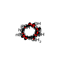 CCCC[C@H]1C(=O)N(C)CC(=O)N[C@@H](C)C(=O)N[C@@H](C(C)C)C(=O)N(C)[C@@H](Cc2ccccc2)C(=O)N[C@@H](Cc2ccc(O)cc2)C(=O)N(C)CC(=O)N[C@@H](Cc2c[nH]c3ccccc23)C(=O)N[C@@H](Cc2ccc(O)cc2)C(=O)N[C@@H](CC(C)C)C(=O)N[C@H](C(=O)NCC(N)=O)CSCC(=O)N[C@@H](Cc2ccccc2)C(=O)N(C)[C@@H](Cc2ccccc2)C(=O)N1C